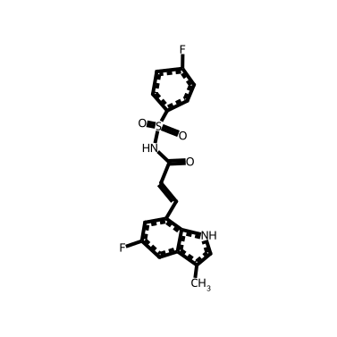 Cc1c[nH]c2c(C=CC(=O)NS(=O)(=O)c3ccc(F)cc3)cc(F)cc12